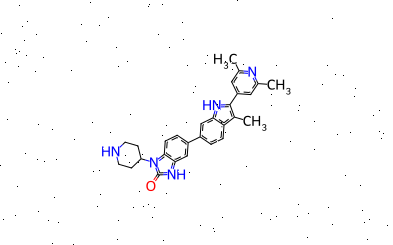 Cc1cc(-c2[nH]c3cc(-c4ccc5c(c4)[nH]c(=O)n5C4CCNCC4)ccc3c2C)cc(C)n1